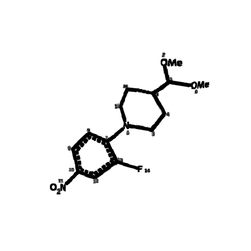 COC(OC)C1CCN(c2ccc([N+](=O)[O-])cc2F)CC1